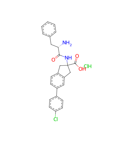 Cl.N[C@@H](Cc1ccccc1)C(=O)NC1(C(=O)O)Cc2ccc(-c3ccc(Cl)cc3)cc2C1